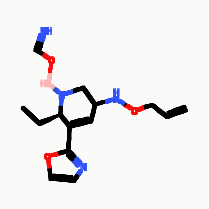 C=CCONC1C=C(c2ncco2)[C@@H](CC)N(BOC=N)C1